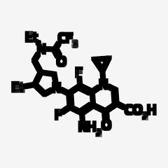 CCC1CN(c2c(F)c(N)c3c(=O)c(C(=O)O)cn(C4CC4)c3c2F)CC1CN(CC)C(=O)C(F)(F)F